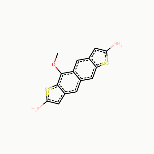 Bc1cc2cc3c(OC)c4sc(B)cc4cc3cc2s1